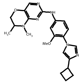 COc1cc(Nc2ncc3c(n2)N(C)C(C)CO3)ccc1-n1cnc(C2CCC2)c1